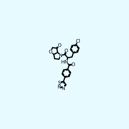 O=C(NC(Cc1ccc(Cl)cc1)C(=O)N1CCC2OCC(=O)C21)c1ccc(-c2cnns2)cc1